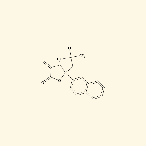 C=C1CC(CC(O)(C(F)(F)F)C(F)(F)F)(c2ccc3ccccc3c2)OC1=O